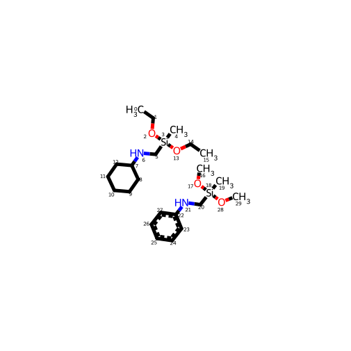 CCO[Si](C)(CNC1CCCCC1)OCC.CO[Si](C)(CNc1ccccc1)OC